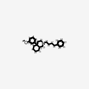 COc1cccc(C23CCCCC2CN(CCCCc2ccccc2)CC3)c1